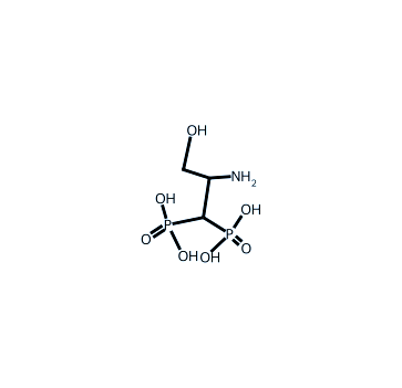 NC(CO)C(P(=O)(O)O)P(=O)(O)O